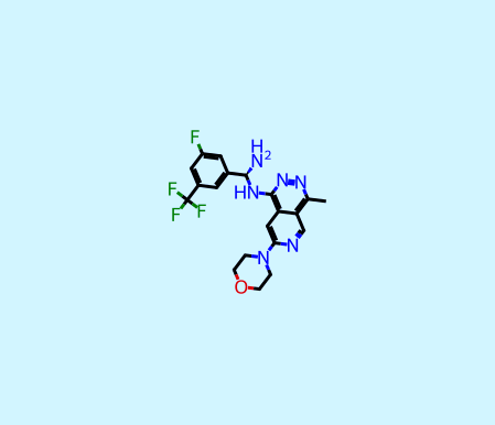 Cc1nnc(N[C@H](N)c2cc(F)cc(C(F)(F)F)c2)c2cc(N3CCOCC3)ncc12